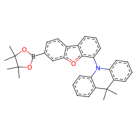 CC1(C)c2ccccc2N(c2cccc3c2oc2cc(B4OC(C)(C)C(C)(C)O4)ccc23)c2ccccc21